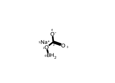 BOC(=O)[O-].[Na+]